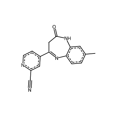 Cc1ccc2c(c1)NC(=O)CC(c1ccnc(C#N)c1)=N2